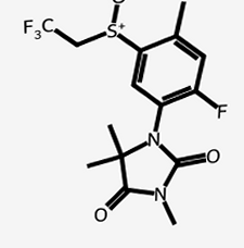 Cc1cc(F)c(N2C(=O)N(C)C(=O)C2(C)C)cc1[S+]([O-])CC(F)(F)F